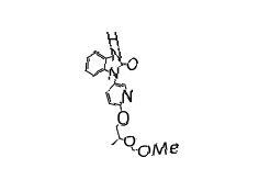 COCO[C@@H](C)COc1ccc(-n2c(=O)[nH]c3ccccc32)cn1